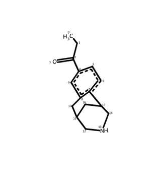 CCC(=O)c1ccc2c(c1)CC1CNCC2C1